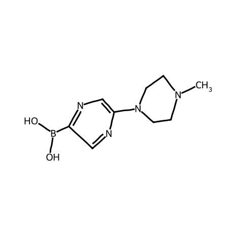 CN1CCN(c2cnc(B(O)O)cn2)CC1